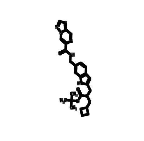 CC(C)(C)OC(=O)N(Cc1cc2ccc(CNC(=O)c3cn4ncnc4cn3)cc2[nH]1)CC1CCC1